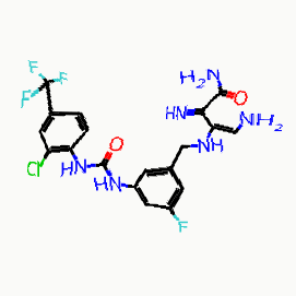 N=C(C(N)=O)/C(=C\N)NCc1cc(F)cc(NC(=O)Nc2ccc(C(F)(F)F)cc2Cl)c1